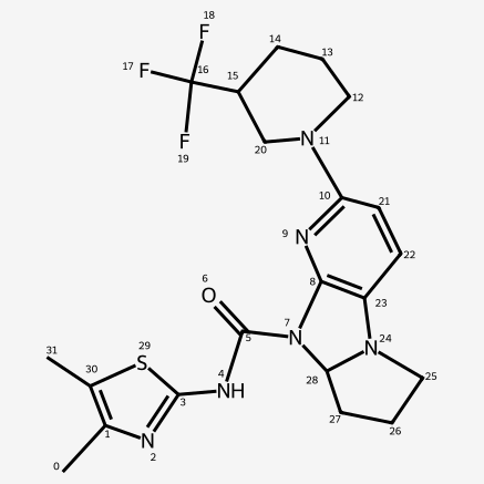 Cc1nc(NC(=O)N2c3nc(N4CCCC(C(F)(F)F)C4)ccc3N3CCCC32)sc1C